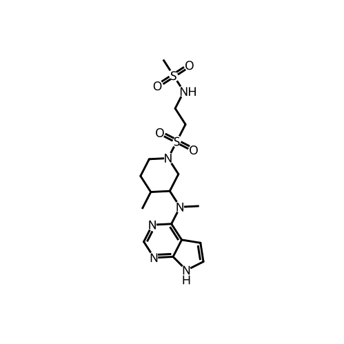 CC1CCN(S(=O)(=O)CCNS(C)(=O)=O)CC1N(C)c1ncnc2[nH]ccc12